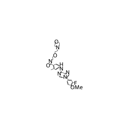 COc1ccc(-c2cnc3c(Nc4ccc(C(=O)N(C)CCOCCN5CCOCC5)c(C)c4)nccn23)cc1F